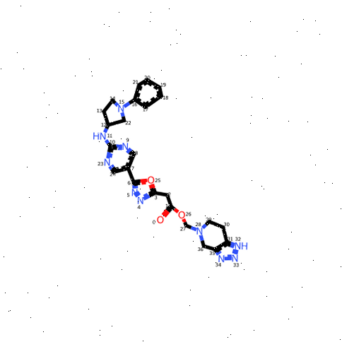 O=C(Cc1nnc(-c2cnc(NC3CCN(c4ccccc4)C3)nc2)o1)OCN1CCc2[nH]nnc2C1